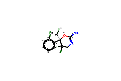 NC1=NCC(F)(F)[C@@](CF)(c2ccccc2F)O1